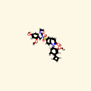 COc1ccc(CN(c2ncco2)S(=O)(=O)c2ccc3c(ccc(=O)n3-c3cc(C)c(C4CCC4)cc3OC)c2)c(OC)c1